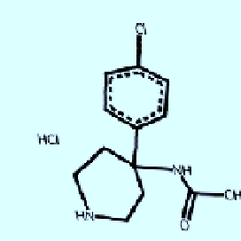 CC(=O)NC1(c2ccc(Cl)cc2)CCNCC1.Cl